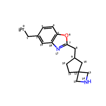 CC(C)Cc1ccc2oc(CC3CCC4(CNC4)C3)nc2c1